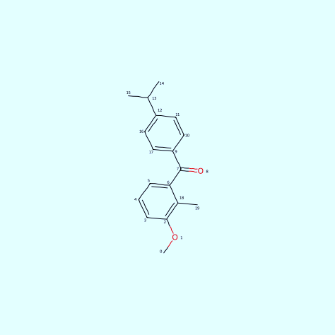 COc1cccc(C(=O)c2ccc(C(C)C)cc2)c1C